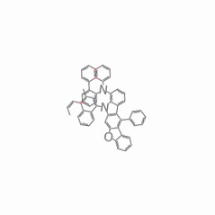 C/C=C\c1c(C)cc(-n2c3cc4oc5ccccc5c4c(-c4ccccc4)c3c3cccc(N(c4ccccc4)c4ccccc4-c4ccccc4)c32)c2ccccc12